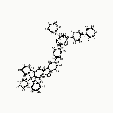 c1ccc(-c2ccc(-c3nc(-c4ccccc4)nc(-c4ccc(-c5ccc6oc7cc8c(cc7c6c5)-c5ccccc5C8(c5ccccc5)c5ccccc5)cc4)n3)cc2)cc1